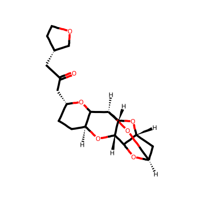 O=C(C[C@@H]1CCOC1)C[C@H]1CC[C@@H]2O[C@H]3C4O[C@@H]5C[C@H]4O[C@H]3[C@@H](O5)C2O1